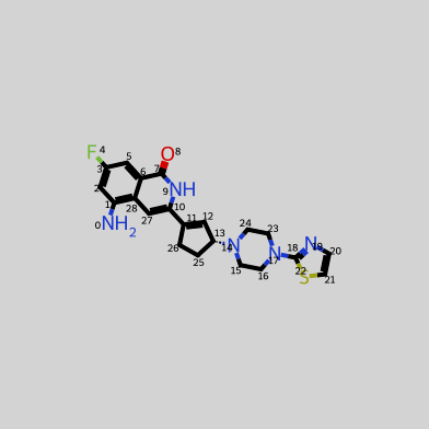 Nc1cc(F)cc2c(=O)[nH]c(C3=C[C@H](N4CCN(c5nccs5)CC4)CC3)cc12